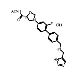 CC(=O)NC(=O)[C@@H]1CN(c2ccc(-c3ccc(CNCc4cnn[nH]4)cc3)c(F)c2)CO1.Cl